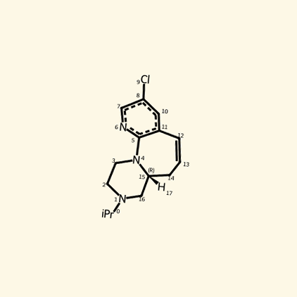 CC(C)N1CCN2c3ncc(Cl)cc3C=CC[C@@H]2C1